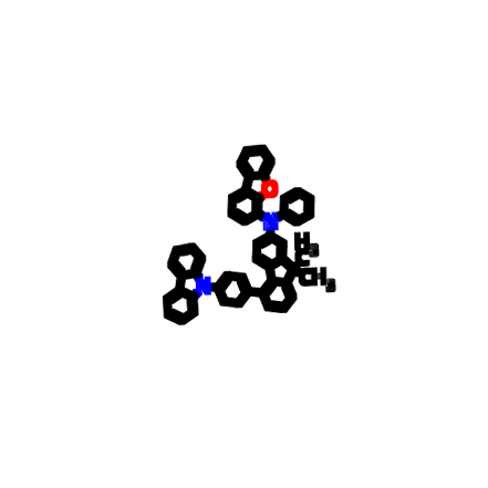 CC1(C)c2cc(N(c3ccccc3)c3cccc4c3oc3ccccc34)ccc2-c2c(C3=CC=C(n4c5ccccc5c5ccccc54)CC3)cccc21